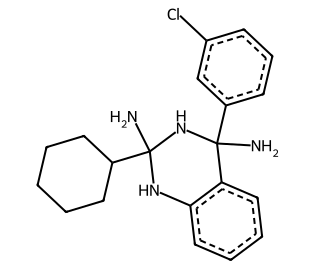 NC1(c2cccc(Cl)c2)NC(N)(C2CCCCC2)Nc2ccccc21